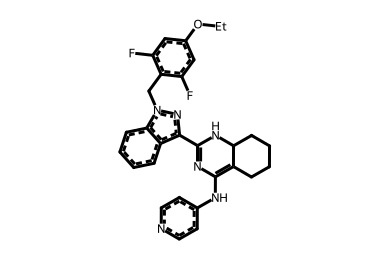 CCOc1cc(F)c(Cn2nc(C3=NC(Nc4ccncc4)=C4CCCCC4N3)c3ccccc32)c(F)c1